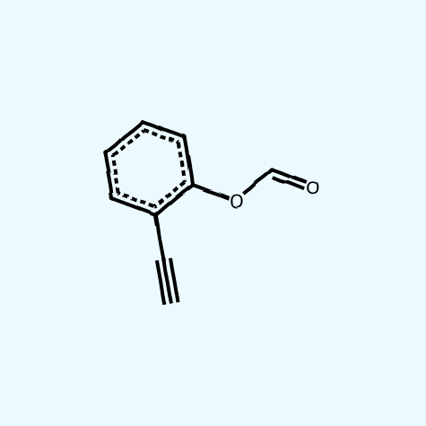 C#Cc1ccccc1OC=O